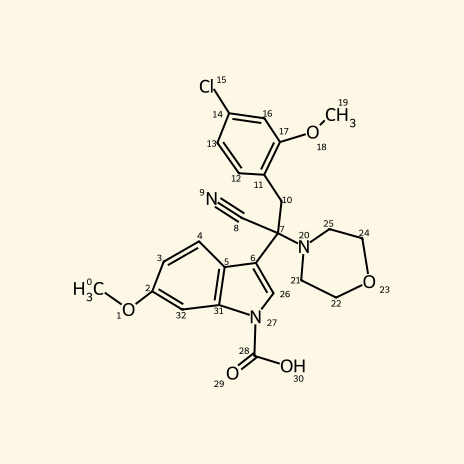 COc1ccc2c(C(C#N)(Cc3ccc(Cl)cc3OC)N3CCOCC3)cn(C(=O)O)c2c1